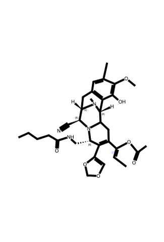 C/C=C(\OC(C)=O)C1=C(C2=COCO2)[C@H](CNC(=O)CCCC)N2C(C1)[C@H]1c3c(cc(C)c(OC)c3O)C[C@@H]([C@@H]2C#N)N1C